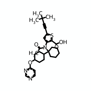 CC(=O)N(c1cc(C#CC(C)(C)C)sc1C(=O)O)C1(C2CCC(Oc3ccncn3)CC2)CCCCC1